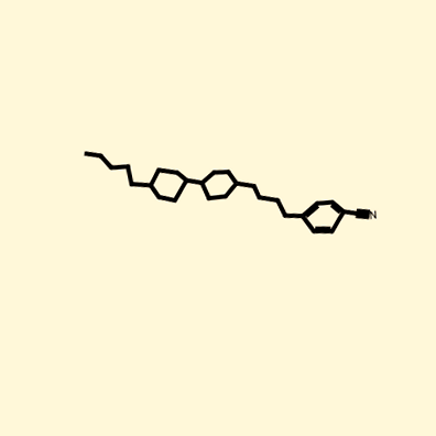 CCCCCC1CCC(C2CCC(CCCCc3ccc(C#N)cc3)CC2)CC1